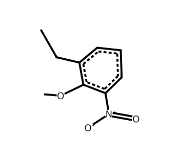 CCc1cccc([N+](=O)[O-])c1OC